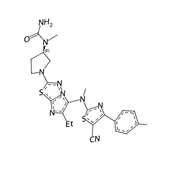 CCc1nc2sc(N3CC[C@@H](N(C)C(N)=O)C3)nn2c1N(C)c1nc(-c2ccc(C)cc2)c(C#N)s1